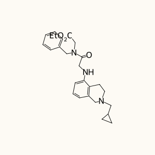 CCOC(=O)CN(Cc1ccccc1)C(=O)CNc1cccc2c1CCN(CC1CC1)C2